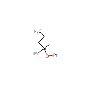 CC(C)O[Si](C)(CCC(F)(F)F)C(C)C